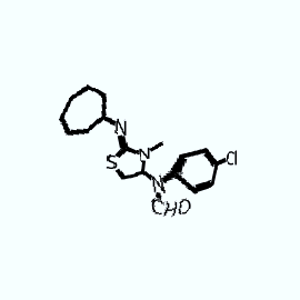 CN1C(=NC2CCCCCC2)SCC1N(C=O)c1ccc(Cl)cc1